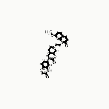 COc1ccc2ccc(=O)n(CCN3CCC4CN(c5ccc6c(c5)NC(=O)CS6)C(=O)OC4C3)c2n1